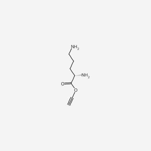 C#COC(=O)[C@@H](N)CCCN